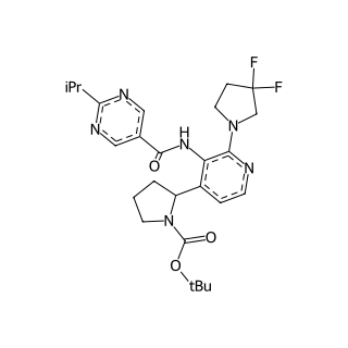 CC(C)c1ncc(C(=O)Nc2c(C3CCCN3C(=O)OC(C)(C)C)ccnc2N2CCC(F)(F)C2)cn1